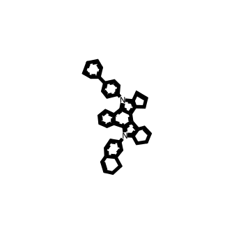 C1=Cc2ccc(-n3c4c(c5c6c7c(n(-c8ccc(-c9ccccc9)cc8)c6c6ccccc6c53)C=CC7)C=CCC4)cc2CC1